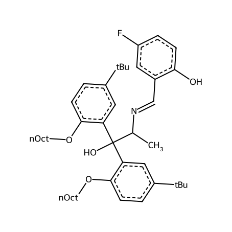 CCCCCCCCOc1ccc(C(C)(C)C)cc1C(O)(c1cc(C(C)(C)C)ccc1OCCCCCCCC)C(C)N=Cc1cc(F)ccc1O